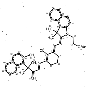 C=C(/C=C/C1=C(Cl)C(=C/C=C2/N(CCOC)c3ccc4ccccc4c3C2(C)C)/CCC1)C(C)(C)c1c(C)ccc2ccccc12